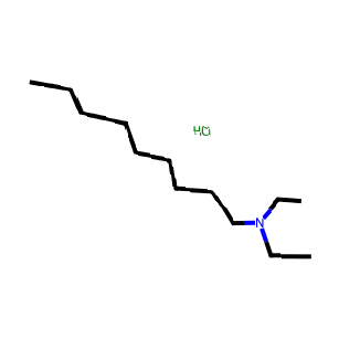 CCCCCCCCCN(CC)CC.Cl